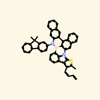 C=C/C=C\c1c(C)sc2c1c1cccc3c1n2-c1cc2ccccc2c2c1B3N(c1ccc3c(c1)C(C)(C)c1ccccc1-3)c1cc3ccccc3cc1-2